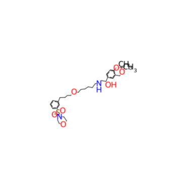 CC1(C)OCc2cc([C@@H](O)CNCCCCCCOCCCCc3cccc(S(=O)(=O)N4CCOCC4)c3)ccc2O1